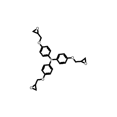 c1cc(P(c2ccc(OCC3CO3)cc2)c2ccc(OCC3CO3)cc2)ccc1OCC1CO1